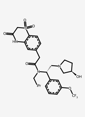 CC(C)CN(C(=O)Cc1ccc2c(c1)NC(=O)CS2(=O)=O)[C@H](CN1CC[C@@H](O)C1)c1cccc(OC(F)(F)F)c1